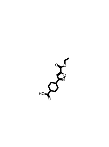 CCOC(=O)c1cc(C2CCC(C(=O)O)CC2)no1